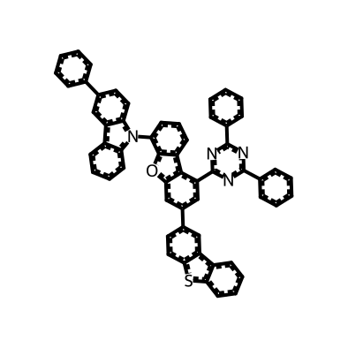 c1ccc(-c2ccc3c(c2)c2ccccc2n3-c2cccc3c2oc2cc(-c4ccc5sc6ccccc6c5c4)cc(-c4nc(-c5ccccc5)nc(-c5ccccc5)n4)c23)cc1